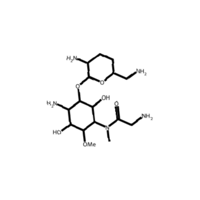 COC1C(O)C(N)C(OC2OC(CN)CCC2N)C(O)C1N(C)C(=O)CN